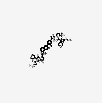 COC(=O)N[C@H](C(=O)N1C(c2nc3ccc4cc5c(cc4c3[nH]2)OCc2cc(-c3cnc([C@@H]4CC[C@H](C)N4C(=O)[C@@H](NC(=O)OC)C4CCOCC4)[nH]3)ccc2-5)CC[C@@H]1C)C1CCOCC1